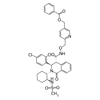 CS(=O)(=O)N[C@H]1CCCC[C@@H]1N1C(=O)c2ccccc2[C@@H](C(=O)NOCc2ccc(COC(=O)c3ccccc3)cn2)[C@@H]1c1ccc(Cl)cc1Cl